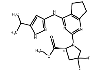 COC(=O)[C@@H]1CC(F)(F)CN1c1nc2c(c(Nc3cc(C(C)C)[nH]n3)n1)CCC2